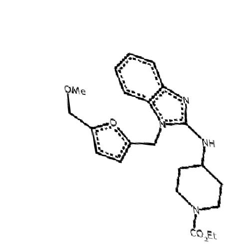 CCOC(=O)N1CCC(Nc2nc3ccccc3n2Cc2ccc(COC)o2)CC1